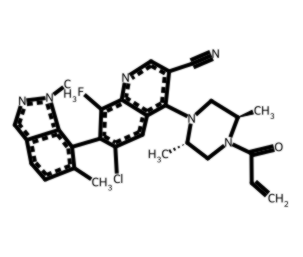 C=CC(=O)N1C[C@H](C)N(c2c(C#N)cnc3c(F)c(-c4c(C)ccc5cnn(C)c45)c(Cl)cc23)C[C@H]1C